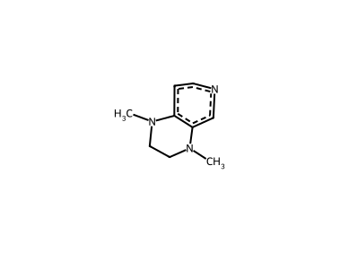 CN1CCN(C)c2cnccc21